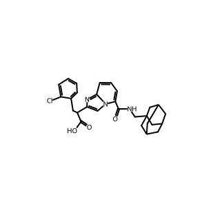 O=C(NCC12CC3CC(CC(C3)C1)C2)c1cccc2nc(C(Cc3ccccc3Cl)C(=O)O)cn12